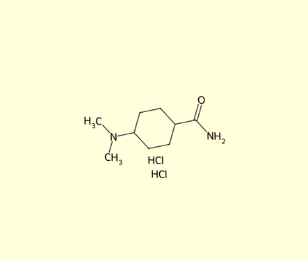 CN(C)C1CCC(C(N)=O)CC1.Cl.Cl